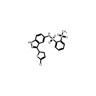 CS(=O)(=O)c1ccccc1S(=O)(=O)Nc1ccc2[nH]nc(C3CC=C(Cl)S3)c2c1